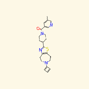 Cc1cncc(C(=O)N2CCC(c3nc4c(s3)CCN(C3=CC=C3)CC4)CC2)c1